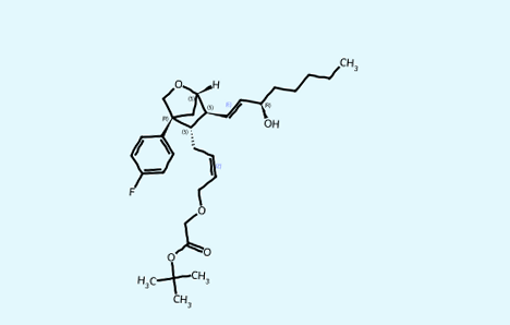 CCCCC[C@@H](O)/C=C/[C@@H]1[C@@H]2C[C@@](c3ccc(F)cc3)(CO2)[C@H]1C/C=C\COCC(=O)OC(C)(C)C